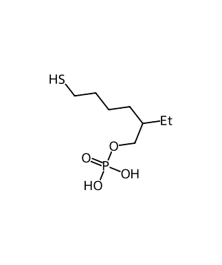 CCC(CCCCS)COP(=O)(O)O